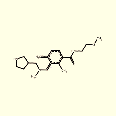 C=c1ccc(C(=O)NCCOC)c(C)/c1=C/N(C)CC1CCNC1